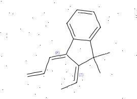 C=C/C=C1\C(=C/C)C(C)(C)c2ccccc21